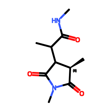 CNC(=O)C(C)C1C(=O)N(C)C(=O)[C@@H]1C